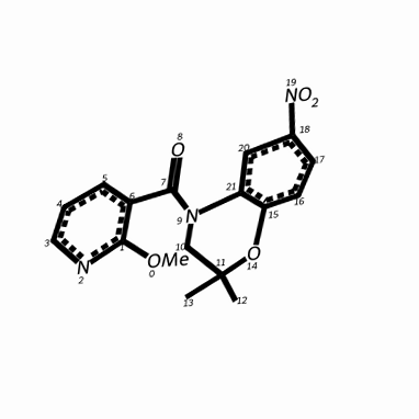 COc1ncccc1C(=O)N1CC(C)(C)Oc2ccc([N+](=O)[O-])cc21